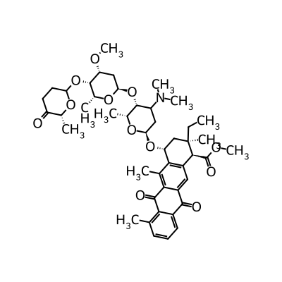 CC[C@]1(C)C[C@@H](O[C@@H]2CC(N(C)C)[C@@H](O[C@@H]3C[C@@H](OC)[C@@H](OC4CCC(=O)[C@@H](C)O4)[C@@H](C)O3)[C@@H](C)O2)c2c(cc3c(c2C)C(=O)c2c(C)cccc2C3=O)[C@@H]1C(=O)OC